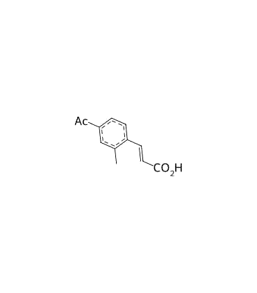 CC(=O)c1ccc(C=CC(=O)O)c(C)c1